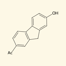 CC(=O)c1ccc2c(c1)Cc1cc(O)ccc1-2